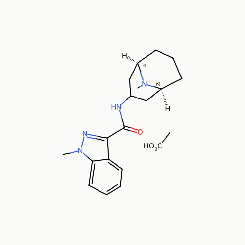 CC(=O)O.CN1[C@@H]2CCC[C@H]1CC(NC(=O)c1nn(C)c3ccccc13)C2